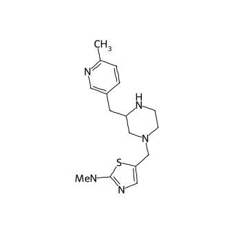 CNc1ncc(CN2CCNC(Cc3ccc(C)nc3)C2)s1